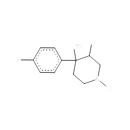 COC1(c2ccc(F)cc2)CCN(C)CC1O